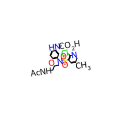 CC(=O)NCC1CN(S(=O)(=O)c2cc(C)cnc2Cl)c2cc(NC(=O)O)ccc2O1